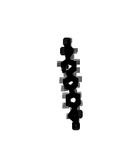 O=C1CC(C2CCC(C3CCC(C4CCC(C5CC(=O)O5)CC4)CC3)CC2)O1